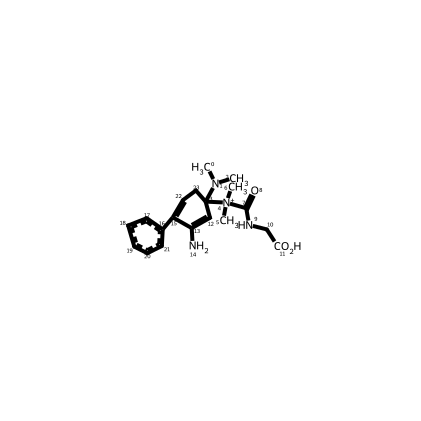 CN(C)C1([N+](C)(C)C(=O)NCC(=O)O)C=C(N)C(c2ccccc2)=CC1